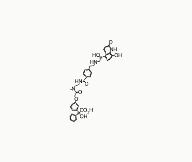 CN(CCNC(=O)c1ccc(CCNC[C@H](O)c2ccc(O)c3[nH]c(=O)ccc23)cc1)C(=O)COc1cccc([C@](O)(C(=O)O)c2ccccc2)c1